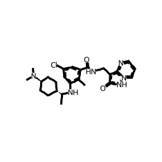 Cc1c(NC(C)[C@H]2CC[C@H](N(C)C)CC2)cc(Cl)cc1C(=O)NCc1c(=O)[nH]n2cccnc12